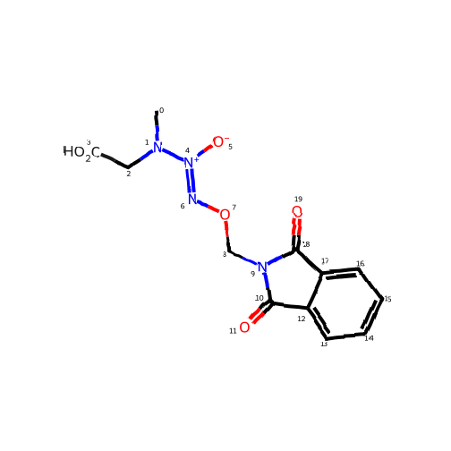 CN(CC(=O)O)[N+]([O-])=NOCN1C(=O)c2ccccc2C1=O